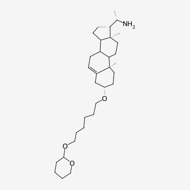 C[C@H](N)[C@H]1CCC2C3CC=C4C[C@@H](OCCCCCCOC5CCCCO5)CC[C@]4(C)C3CC[C@@]21C